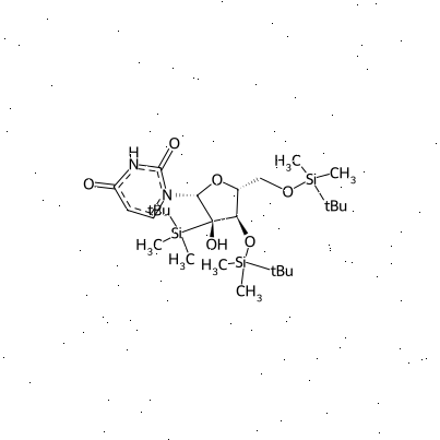 CC(C)(C)[Si](C)(C)OC[C@H]1O[C@@H](n2ccc(=O)[nH]c2=O)[C@@](O)([Si](C)(C)C(C)(C)C)[C@@H]1O[Si](C)(C)C(C)(C)C